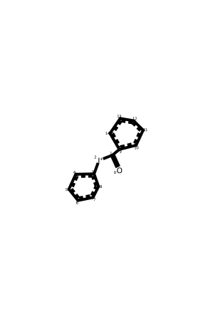 O=C([I+]c1ccccc1)c1ccccc1